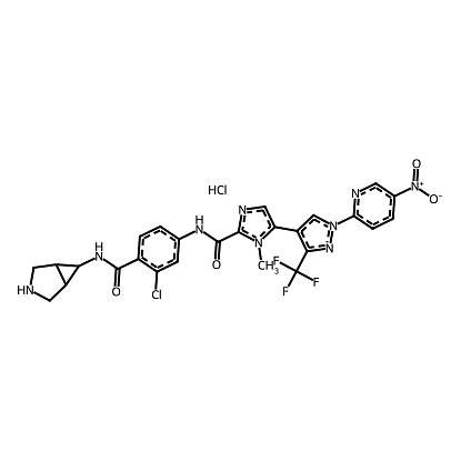 Cl.Cn1c(-c2cn(-c3ccc([N+](=O)[O-])cn3)nc2C(F)(F)F)cnc1C(=O)Nc1ccc(C(=O)NC2C3CNCC32)c(Cl)c1